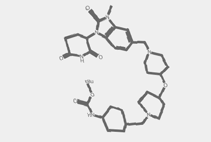 Cn1c(=O)n(C2CCC(=O)NC2=O)c2ccc(CN3CCC(OC4CCN(CC5CCC(NC(=O)OC(C)(C)C)CC5)CC4)CC3)cc21